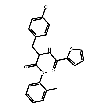 Cc1ccccc1NC(=O)C(Cc1ccc(O)cc1)NC(=O)c1cccs1